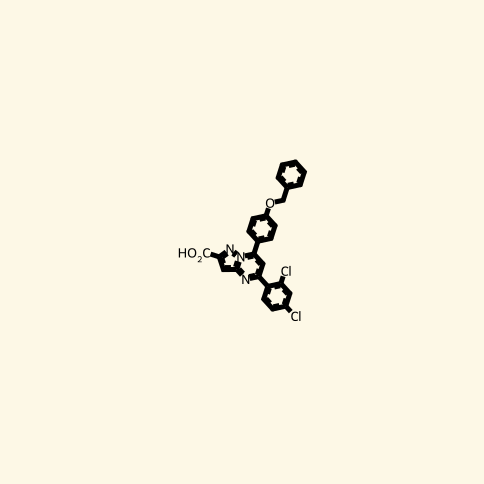 O=C(O)c1cc2nc(-c3ccc(Cl)cc3Cl)cc(-c3ccc(OCc4ccccc4)cc3)n2n1